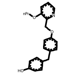 CCCOc1cccnc1COc1ccc(Cc2ccc(O)cc2)cc1